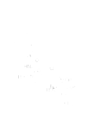 CCOC(=O)C(C)(C)Oc1c(C)cc(CN(C)C(=O)NC(=O)OCc2ccccc2)cc1C